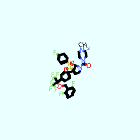 CN1CCN(C(=O)N2CCC(c3ccc(C(OCc4c(F)cccc4F)(C(F)(F)F)C(F)(F)F)cc3)(S(=O)(=O)c3ccc(F)cc3)C2)CC1